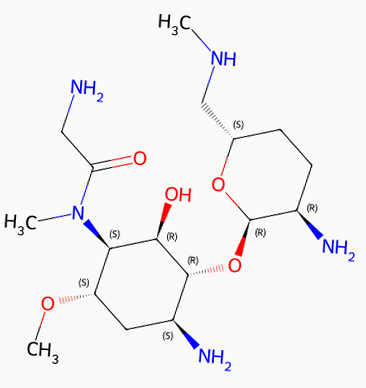 CNC[C@@H]1CC[C@@H](N)[C@@H](O[C@H]2[C@H](O)[C@H](N(C)C(=O)CN)[C@@H](OC)C[C@@H]2N)O1